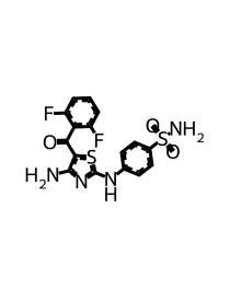 Nc1nc(Nc2ccc(S(N)(=O)=O)cc2)sc1C(=O)c1c(F)cccc1F